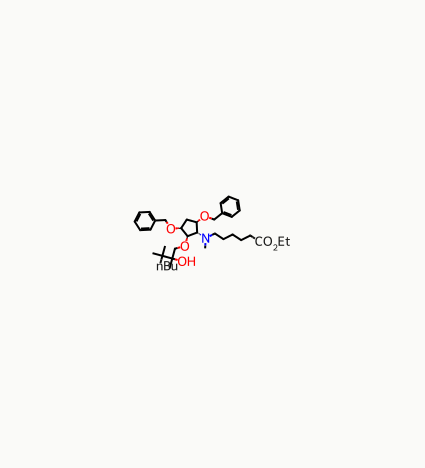 CCCCC(C)(C)C(C)(O)CO[C@@H]1[C@@H](N(C)CCCCCC(=O)OCC)[C@H](OCc2ccccc2)C[C@@H]1OCc1ccccc1